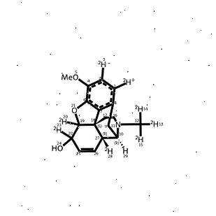 [2H]c1c([2H])c(OC)c2c3c1C[C@H]1N(C([2H])([2H])[2H])CC[C@@]34C([2H])(O2)C([2H])(O)C=C[C@@]14[2H]